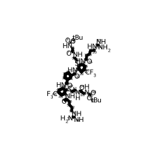 CC(C)(C)OC(=O)NCC(=O)NCCSc1c(NC(=O)CCCCNC(=N)N)cc(C(F)(F)F)cc1NC(=O)c1cccc(C(=O)Nc2cc(C(F)(F)F)cc(NC(=O)CCCCNC(=N)N)c2SCCNC(=O)CNC(=O)OC(C)(C)C)c1